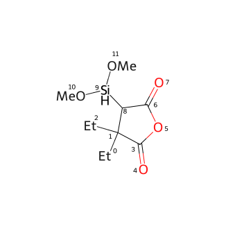 CCC1(CC)C(=O)OC(=O)C1[SiH](OC)OC